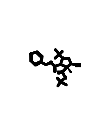 CC(C)(C)OC(=O)[C@]1(C)C(O)CN(C(C)(C)C)C1C(=O)OCc1ccccc1